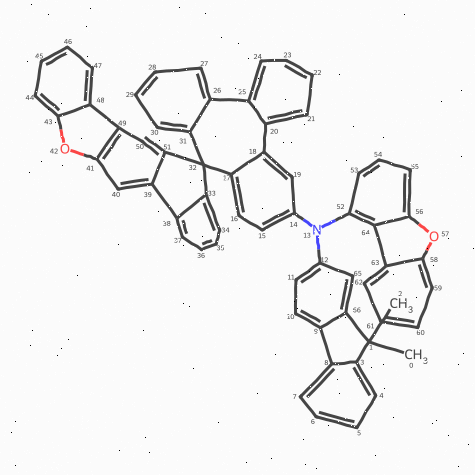 CC1(C)c2ccccc2-c2ccc(N(c3ccc4c(c3)-c3ccccc3-c3ccccc3C43c4ccccc4-c4cc5oc6ccccc6c5cc43)c3cccc4oc5ccccc5c34)cc21